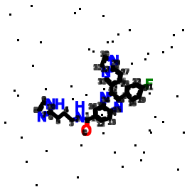 O=C(NCCCc1ncc[nH]1)c1ccc2nc(-c3ccc(F)cc3)c(-c3ccc4nccn4c3)nc2c1